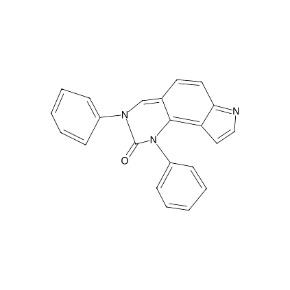 O=c1n(-c2ccccc2)cc2ccc3nccc3c2n1-c1ccccc1